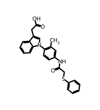 Cc1cc(NC(=O)CSc2ccccc2)ccc1-n1cc(CC(=O)O)c2ccccc21